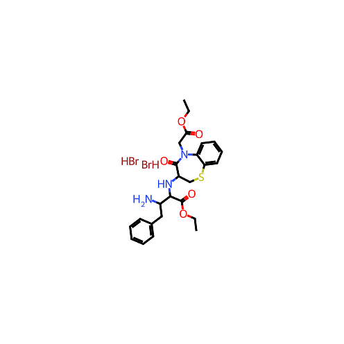 Br.Br.CCOC(=O)CN1C(=O)C(NC(C(=O)OCC)C(N)Cc2ccccc2)CSc2ccccc21